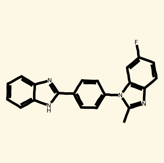 Cc1nc2ccc(F)cc2n1-c1ccc(-c2nc3ccccc3[nH]2)cc1